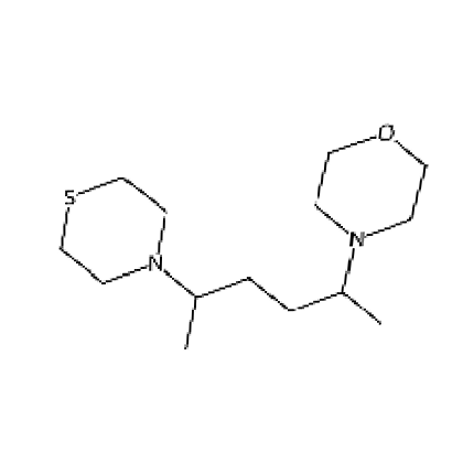 CC(CCC(C)N1CCSCC1)N1CCOCC1